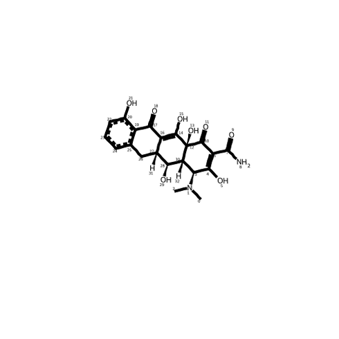 CN(C)[C@@H]1C(O)=C(C(N)=O)C(=O)[C@@]2(O)C(O)=C3C(=O)c4c(O)cccc4C[C@H]3[C@H](O)[C@@H]12